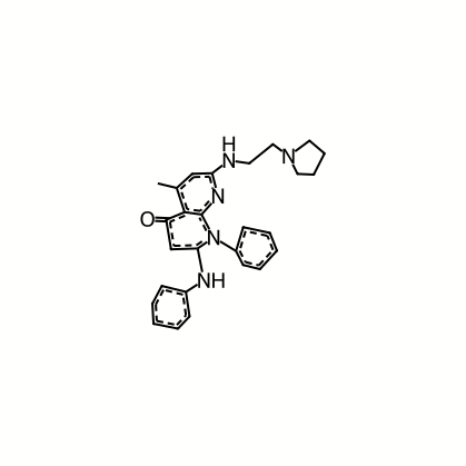 Cc1cc(NCCN2CCCC2)nc2c1c(=O)cc(Nc1ccccc1)n2-c1ccccc1